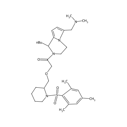 CCCCC1c2ccc(CN(C)C)n2CCN1C(=O)COCC1CCCCN1S(=O)(=O)c1c(C)cc(C)cc1C